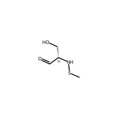 CSN[C@H](C=O)CO